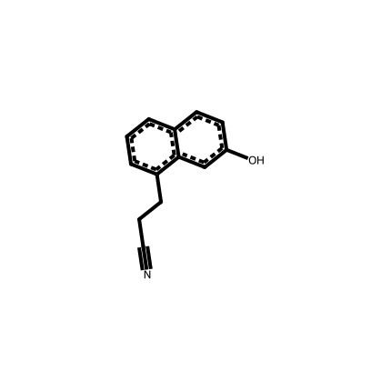 N#CCCc1cccc2ccc(O)cc12